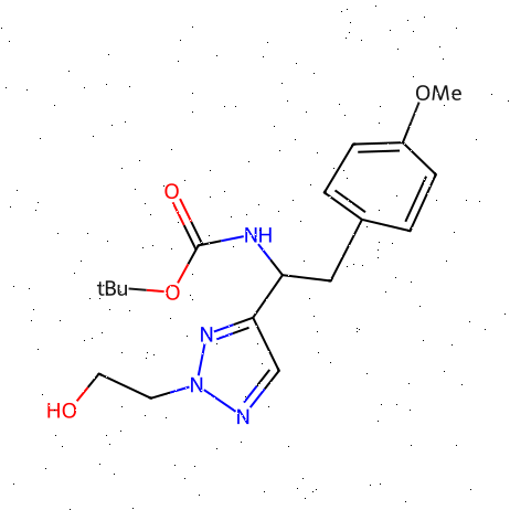 COc1ccc(CC(NC(=O)OC(C)(C)C)c2cnn(CCO)n2)cc1